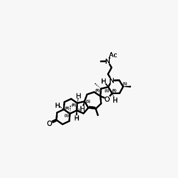 CC(=O)N(C)CCN1C[C@@H](C)C[C@H]2OC3(CC[C@@H]4C(=C(C)C3)C[C@H]3[C@H]4CC[C@@H]4CC(=O)CC[C@@]43C)[C@H](C)[C@@H]21